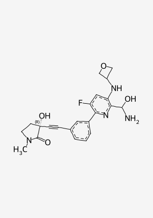 CN1CC[C@@](O)(C#Cc2cccc(-c3nc(C(N)O)c(NC4COC4)cc3F)c2)C1=O